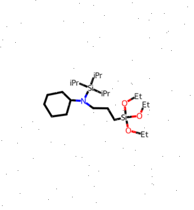 CCO[Si](CCCN(C1CCCCC1)[Si](C(C)C)(C(C)C)C(C)C)(OCC)OCC